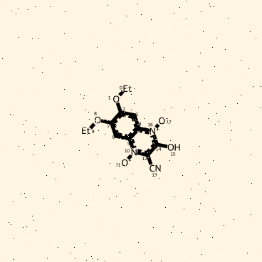 CCOc1cc2c(cc1OCC)[n+]([O-])c(C#N)c(O)[n+]2[O-]